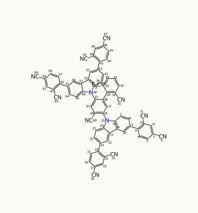 N#Cc1ccc(-c2ccc3c(c2)c2cc(-c4ccc(C#N)cc4C#N)ccc2n3-c2cc(-c3c(C#N)cccc3C(F)(F)F)c(-n3c4ccc(-c5ccc(C#N)cc5C#N)cc4c4cc(-c5ccc(C#N)cc5C#N)ccc43)cc2C#N)c(C#N)c1